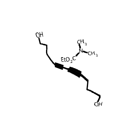 CCOC(=O)N(C)C.OCCCC#CC#CCCCO